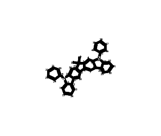 CC1(C)C2=CC3C(C=C2c2cc4c5ccccc5n(-c5ccccc5)c4cc21)c1ccccc1N3c1ccccc1